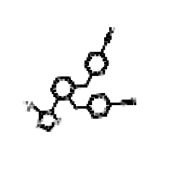 N#Cc1ccc(Cc2cccc(-c3ncsc3N)c2Cc2ccc(C#N)cc2)cc1